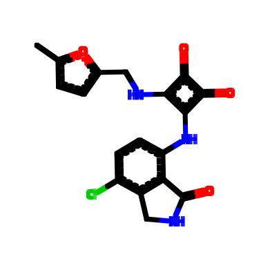 Cc1ccc(CNc2c(Nc3ccc(Cl)c4c3C(=O)NC4)c(=O)c2=O)o1